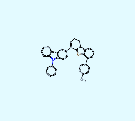 Cc1ccc(-c2cccc3c4c(sc23)C(c2ccc3c(c2)c2ccccc2n3-c2ccccc2)=CCC4)cc1